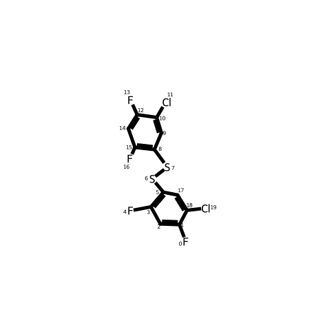 Fc1cc(F)c(SSc2cc(Cl)c(F)cc2F)cc1Cl